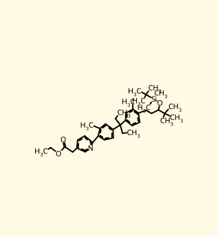 CCOC(=O)Cc1ccc(-c2ccc(C(CC)(CC)c3ccc(CCC(O[Si](C)(C)C(C)(C)C)C(C)(C)C)c(C)c3)cc2C)nc1